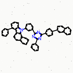 c1ccc(-c2nc(-c3ccc(-c4ccc5ccccc5c4)cc3)nc(-c3cccc(-n4c5cccc(-c6ccccc6)c5c5ccc6ccccc6c54)c3)n2)cc1